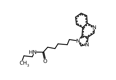 CCCNC(=O)CCCCCn1cnc2cnc3ccccc3c21